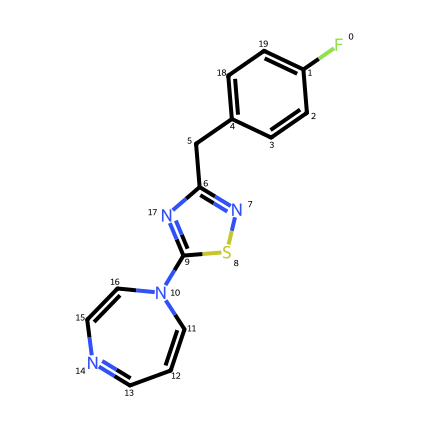 Fc1ccc(Cc2nsc(N3C=CC=NC=C3)n2)cc1